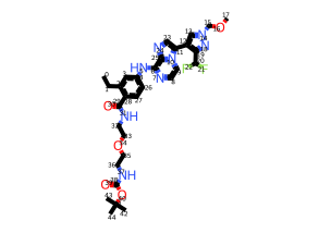 CCc1cc(Nc2nccn3c(-c4cn(COC)nc4C(F)F)cnc23)ccc1C(=O)NCCOCCNC(=O)OC(C)(C)C